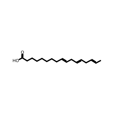 CC=CCC=CCC=CCCCCCCCC(=O)O